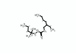 CCCCC(CC)COC(=O)OOC(C)(C)CCC